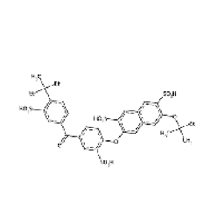 CCC(C)(C)Oc1cc2cc(Oc3ccc(C(=O)c4ccc(C(C)(CC)CC)c(S(=O)(=O)O)c4)cc3S(=O)(=O)O)c(S(=O)(=O)O)cc2cc1S(=O)(=O)O